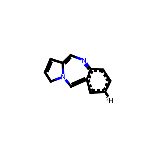 [2H]c1ccc2c(c1)=CN1CC=CC1=CN=2